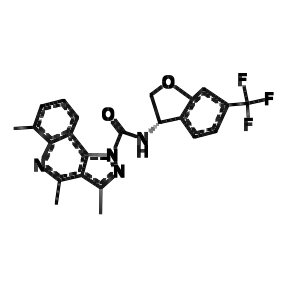 Cc1cccc2c1nc(C)c1c(C)nn(C(=O)N[C@@H]3COc4cc(C(F)(F)F)ccc43)c12